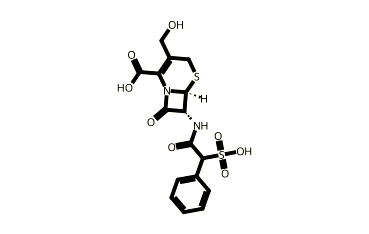 O=C(O)C1=C(CO)CS[C@H]2[C@H](NC(=O)C(c3ccccc3)S(=O)(=O)O)C(=O)N12